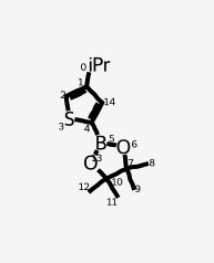 CC(C)c1csc(B2OC(C)(C)C(C)(C)O2)c1